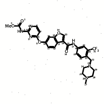 COC(=O)Nc1nccc(Oc2ccc3c(C(=O)Nc4ccc(CN5CCN(C)CC5)c(C(F)(F)F)c4)coc3c2)n1